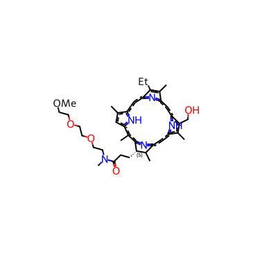 CCC1=C(C)c2cc3[nH]c(cc4nc(c(C)c5cc(C)c(cc1n2)[nH]5)[C@@H](CCC(=O)N(C)CCOCCOCCOC)C4C)c(C)c3CO